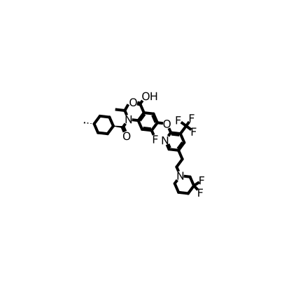 CC(C)N(c1cc(F)c(Oc2ncc(CCN3CCCC(F)(F)C3)cc2C(F)(F)F)cc1C(=O)O)C(=O)[C@H]1CC[C@H](C)CC1